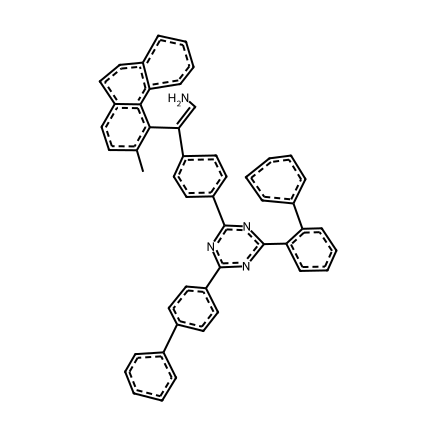 Cc1ccc2ccc3ccccc3c2c1/C(=C\N)c1ccc(-c2nc(-c3ccc(-c4ccccc4)cc3)nc(-c3ccccc3-c3ccccc3)n2)cc1